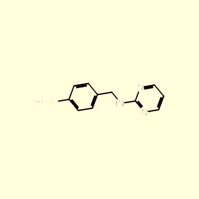 O=C(O)c1ccc(CNc2ncccn2)cc1